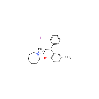 Cc1ccc(O)c(C(CC[N+]2(C)CCCCCC2)c2ccccc2)c1.[I-]